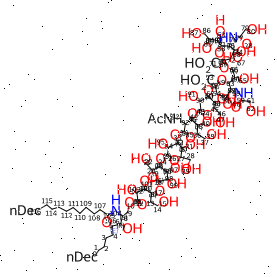 CCCCCCCCCCCCC/C=C/[C@@H](O)[C@H](CO[C@@H]1OC(CO)[C@@H](O[C@@H]2OC(CO)[C@H](O[C@@H]3OC(CO)[C@H](O)[C@H](O[C@@H]4OC(CO)[C@H](O)[C@H](O[C@@H]5OC(CO)[C@H](O)[C@H](O[C@]6(C(=O)O)CC(O)[C@@H](NC(=O)CO)C([C@H](O)[C@@H](CO)O[C@]7(C(=O)O)CC(O)[C@@H](NC(=O)CO)C([C@H](O)[C@H](O)CO)O7)O6)C5O)C4NC(C)=O)C3O)[C@H](O)C2O)[C@H](O)C1O)NC(=O)CCCCCCCCCCCCCCCCCCC